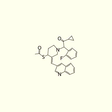 CC(=O)SC1CCN(C(C(=O)C2CC2)c2ccccc2F)CC1=Cc1cnc2ccccc2c1